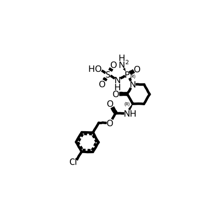 N[P@](=O)(NS(=O)(=O)O)N1CCC[C@@H](NC(=O)OCc2ccc(Cl)cc2)C1=O